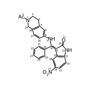 CC(=O)N1CCc2cc(NC(=C3C(=O)Nc4ccc([N+](=O)[O-])cc43)c3ccccc3)ccc2C1